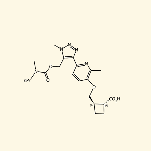 CCCN(C)C(=O)OCc1c(-c2ccc(OC[C@@H]3CC[C@H]3C(=O)O)c(C)n2)nnn1C